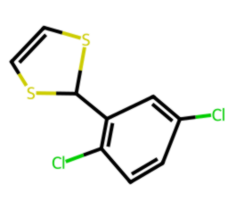 Clc1ccc(Cl)c(C2SC=CS2)c1